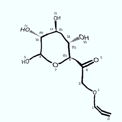 C=COCC(=O)[C@H]1OC(O)[C@H](O)[C@@H](O)[C@@H]1O